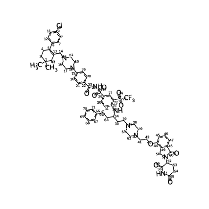 CC1(C)CCC(c2ccc(Cl)cc2)=C(CN2CCN(c3ccc(C(=O)NS(=O)(=O)c4ccc(NC(CCN5CCN(CCOc6cccc7c6CN(C6CCC(=O)NC6=O)C7=O)CC5)CSc5ccccc5)c(S(=O)(=O)C(F)(F)F)c4)cc3)CC2)C1